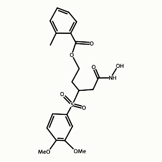 COc1ccc(S(=O)(=O)C(CCOC(=O)c2ccccc2C)CC(=O)NO)cc1OC